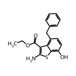 CCOC(=O)c1c(N)sc2c(O)ccc(Cc3ccccc3)c12